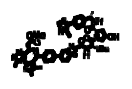 COC(=O)CC1N=C(c2ccc(-c3ccc4sc(C(=O)N[C@H](C(=O)N5C[C@H](O)C[C@H]5C(=O)N[C@@H](C)c5ccc(-c6scnc6C)cc5)C(C)(C)C)nc4c3)cc2)c2c(sc(C)c2C)-n2c(C)nnc21